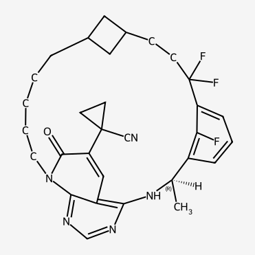 C[C@H]1Nc2ncnc3c2cc(C2(C#N)CC2)c(=O)n3CCCCCC2CC(CCC(F)(F)c3cccc1c3F)C2